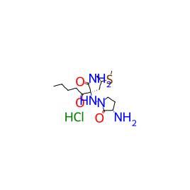 CCCCC(=O)[C@](C[C@@H](C)SC)(NN1CC[C@H](N)C1=O)C(N)=O.Cl